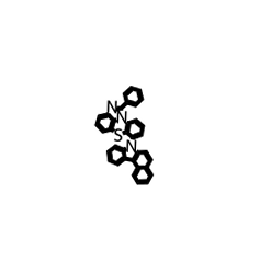 c1ccc(-c2nc3cccc4c3n2-c2cccc(-n3c5ccccc5c5c6ccccc6ccc53)c2S4)cc1